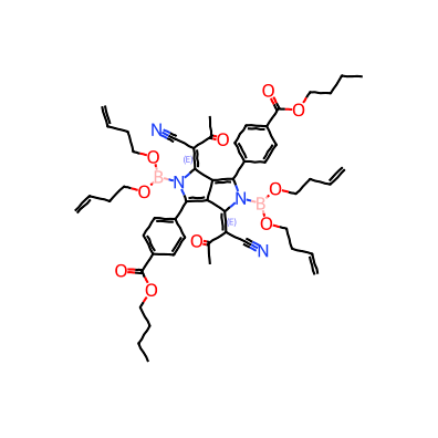 C=CCCOB(OCCC=C)n1c(-c2ccc(C(=O)OCCCC)cc2)c2/c(=C(/C#N)C(C)=O)n(B(OCCC=C)OCCC=C)c(-c3ccc(C(=O)OCCCC)cc3)c2/c1=C(/C#N)C(C)=O